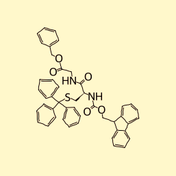 O=C(CNC(=O)[C@H](CSC(c1ccccc1)(c1ccccc1)c1ccccc1)NC(=O)OCC1c2ccccc2-c2ccccc21)OCc1ccccc1